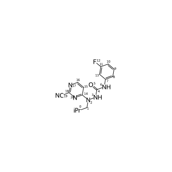 CC(C)CN(NC(=O)Nc1cccc(F)c1)c1ccnc(C#N)n1